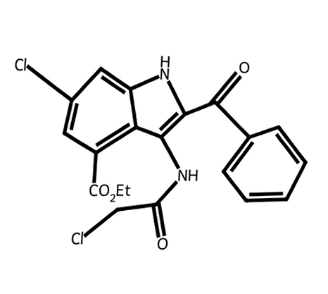 CCOC(=O)c1cc(Cl)cc2[nH]c(C(=O)c3ccccc3)c(NC(=O)CCl)c12